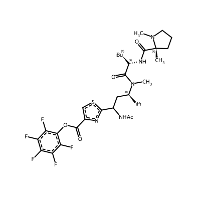 CC[C@H](C)[C@H](NC(=O)[C@@]1(C)CCCN1C)C(=O)N(C)[C@H](CC(NC(C)=O)c1nc(C(=O)Oc2c(F)c(F)c(F)c(F)c2F)cs1)C(C)C